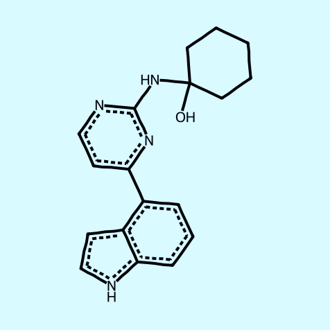 OC1(Nc2nccc(-c3cccc4[nH]ccc34)n2)CCCCC1